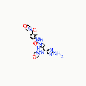 Cc1c(NC(=O)N2CCc3c(-c4cnc(N)nc4)nc(N4CCOCC4)nc32)cccc1C(=O)N1CCOCC1